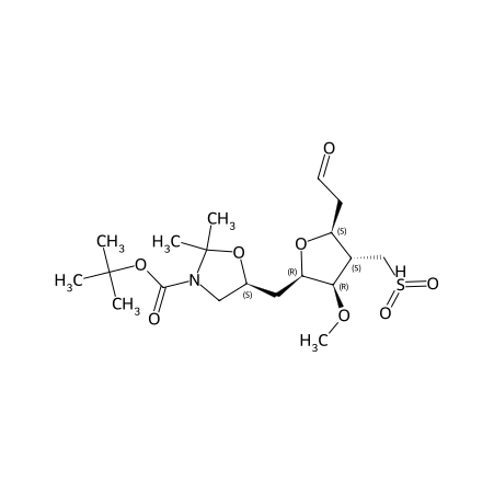 CO[C@@H]1[C@@H](C[SH](=O)=O)[C@H](CC=O)O[C@@H]1C[C@H]1CN(C(=O)OC(C)(C)C)C(C)(C)O1